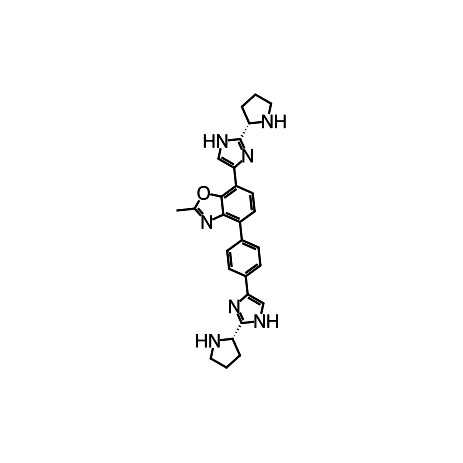 Cc1nc2c(-c3ccc(-c4c[nH]c([C@@H]5CCCN5)n4)cc3)ccc(-c3c[nH]c([C@@H]4CCCN4)n3)c2o1